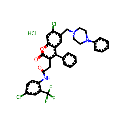 Cl.O=C(Cc1c(-c2ccccc2)c2cc(CN3CCN(c4ccccc4)CC3)c(Cl)cc2oc1=O)Nc1ccc(Cl)cc1C(F)(F)F